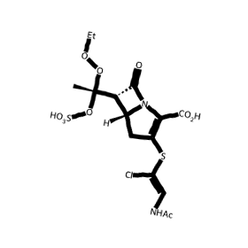 CCOO[C@@](C)(OS(=O)(=O)O)[C@@H]1C(=O)N2C(C(=O)O)=C(SC(Cl)=CNC(C)=O)C[C@H]12